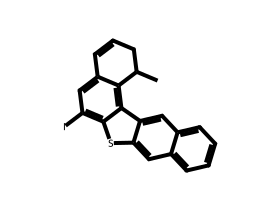 CC1CC=Cc2cc(I)c3sc4cc5ccccc5cc4c3c21